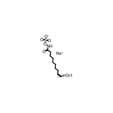 CCCCCCCC/C=C\CCCCCCCC(=O)NOS(=O)(=O)[O-].[Na+]